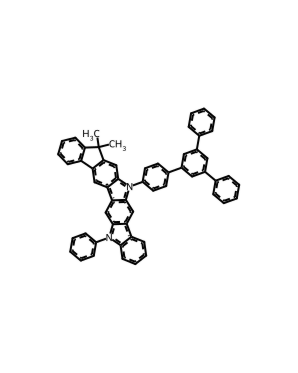 CC1(C)c2ccccc2-c2cc3c4cc5c(cc4n(-c4ccc(-c6cc(-c7ccccc7)cc(-c7ccccc7)c6)cc4)c3cc21)c1ccccc1n5-c1ccccc1